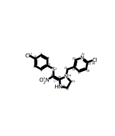 O=[N+]([O-])/C(Sc1ccc(Cl)cc1)=C1\NCCN1Cc1ccc(Cl)nc1